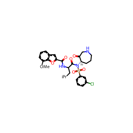 COc1cccc2cc(C(=O)NC(CC(C)C)C(=O)N([C@H]3CCCNCC3=O)S(=O)(=O)c3cccc(Cl)c3)oc12